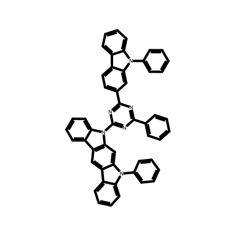 c1ccc(-c2nc(-c3ccc4c5ccccc5n(-c5ccccc5)c4c3)nc(-n3c4ccccc4c4cc5c6ccccc6n(-c6ccccc6)c5cc43)n2)cc1